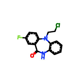 O=C1Nc2ccccc2N(CCCl)c2ccc(F)cc21